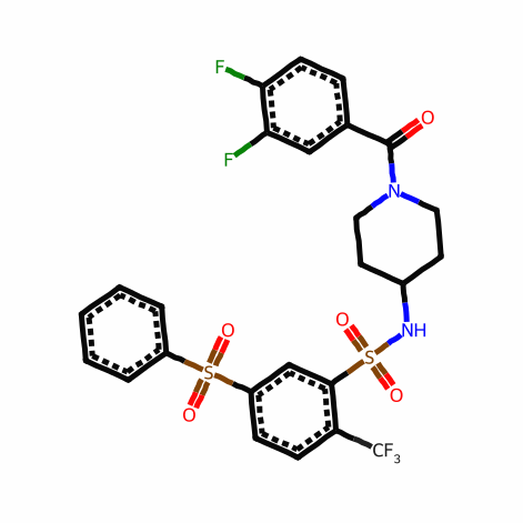 O=C(c1ccc(F)c(F)c1)N1CCC(NS(=O)(=O)c2cc(S(=O)(=O)c3ccccc3)ccc2C(F)(F)F)CC1